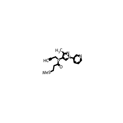 C#CCN(C(=O)CCSC)c1cn(-c2cccnc2)nc1C